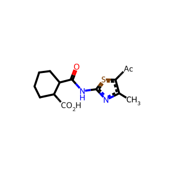 CC(=O)c1sc(NC(=O)C2CCCCC2C(=O)O)nc1C